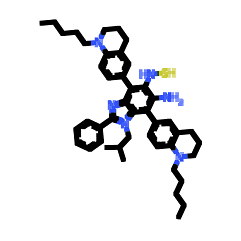 CCCCCN1CCCc2cc(-c3c(NS)c(N)c(-c4ccc5c(c4)CCCN5CCCCC)c4c3nc(-c3ccccc3)n4CC(C)C)ccc21